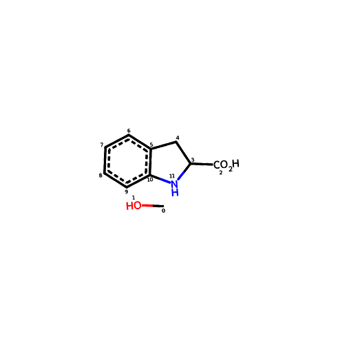 CO.O=C(O)C1Cc2ccccc2N1